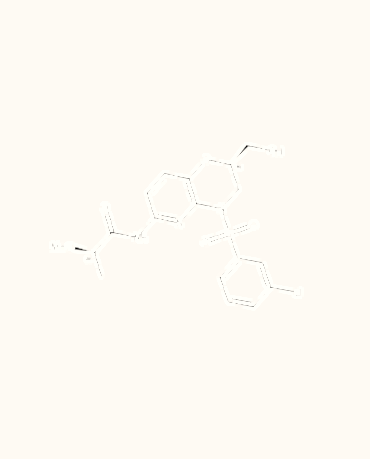 CO[C@H](C)C(=O)Nc1ccc2c(n1)N(S(=O)(=O)c1cccc(Cl)c1)C[C@H](CO)O2